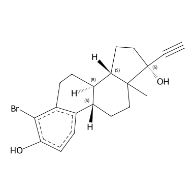 C#C[C@]1(O)CC[C@H]2[C@@H]3CCc4c(ccc(O)c4Br)[C@H]3CCC21C